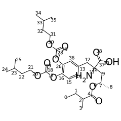 CCC(C)C(=O)O[C@@H](C)CC(N)(Cc1ccc(OC(=O)OCCC(C)C)c(OC(=O)OCCC(C)C)c1)C(=O)O